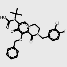 CC(C)(C)N(C(=O)O)c1cn2c(c(OCc3ccccc3)c1=O)C(=O)N(Cc1ccc(F)c(Cl)c1)CC2